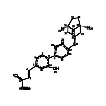 CNC(=O)/C=C/c1ccc(-c2ccc(S[C@H]3C[C@H]4CC[C@@H](C3)N4)nn2)c(O)c1